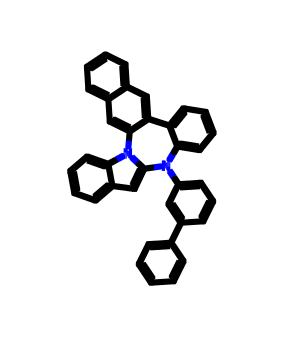 c1ccc(-c2cccc(N3c4ccccc4-c4cc5ccccc5cc4-n4c3cc3ccccc34)c2)cc1